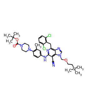 Cc1cc(Nc2nc(Cc3c(Cl)cccc3Cl)c3ncn(COCC[Si](C)(C)C)c3c2C#N)ccc1N1CCN(C(=O)OC(C)(C)C)CC1